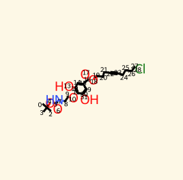 CC(C)(C)OC(=O)NCCOc1c(O)cc(C(=O)OCCCC#CCCCCCl)cc1O